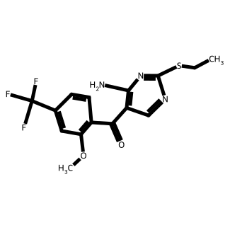 CCSc1ncc(C(=O)c2ccc(C(F)(F)F)cc2OC)c(N)n1